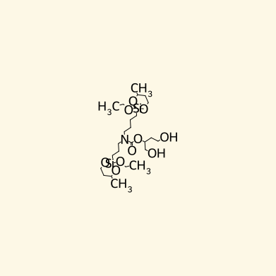 CCO[Si]1(CCCCN(CCC[Si]2(OCC)OCCC(C)O2)C(=O)OC(CO)CCO)OCCC(C)O1